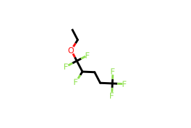 CCOC(F)(F)C(F)CCC(F)(F)F